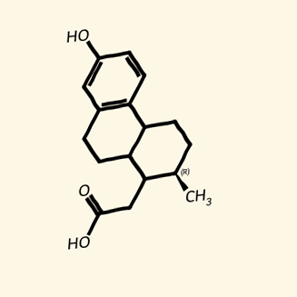 C[C@@H]1CCC2c3ccc(O)cc3CCC2C1CC(=O)O